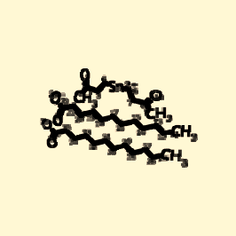 CC(=O)C[CH2][Sn+2][CH2]CC(C)=O.CCCCCCCCCCCC(=O)[O-].CCCCCCCCCCCC(=O)[O-]